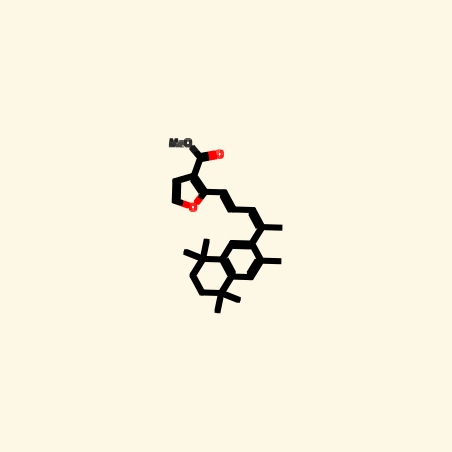 COC(=O)c1ccoc1/C=C/C=C(/C)c1cc2c(cc1C)C(C)(C)CCC2(C)C